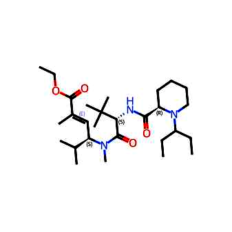 CCOC(=O)/C(C)=C/[C@H](C(C)C)N(C)C(=O)[C@@H](NC(=O)[C@H]1CCCCN1C(CC)CC)C(C)(C)C